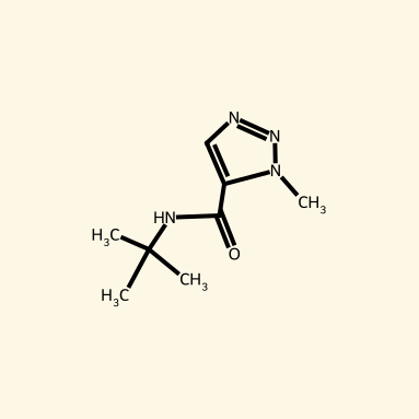 Cn1nncc1C(=O)NC(C)(C)C